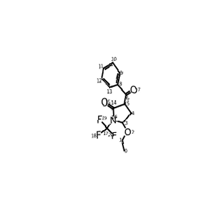 CCOC1CC(C(=O)c2ccccc2)C(=O)N1C(F)(F)F